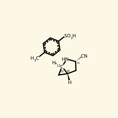 Cc1ccc(S(=O)(=O)O)cc1.N#C[C@@H]1C[C@@H]2C[12C@@H]2N1